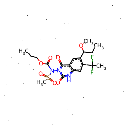 CCCOC(=O)N(n1c(=O)[nH]c2cc(C(C)(F)F)c(C(CC)OC)cc2c1=O)S(C)(=O)=O